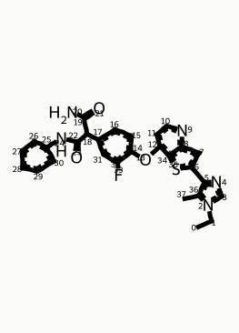 CCn1cnc(-c2cc3nccc(Oc4ccc(C(C(N)=O)C(=O)Nc5ccccc5)cc4F)c3s2)c1C